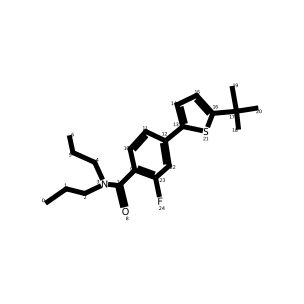 CCCN(CCC)C(=O)c1ccc(-c2ccc(C(C)(C)C)s2)cc1F